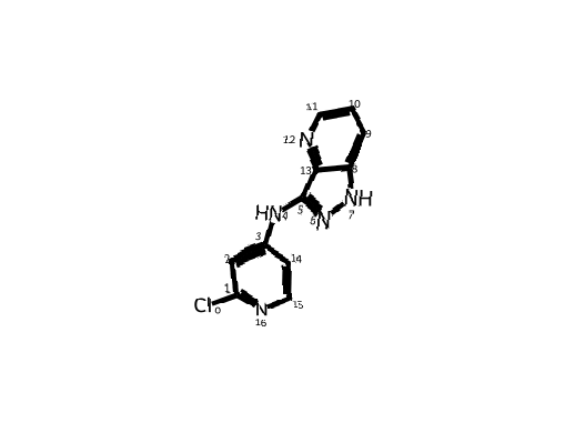 Clc1cc(Nc2n[nH]c3cccnc23)ccn1